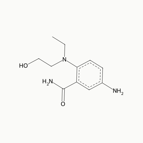 CCN(CCO)c1ccc(N)cc1C(N)=O